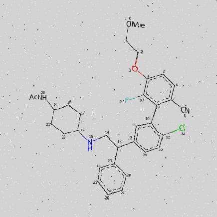 COCCOc1ccc(C#N)c(-c2cc(C(CNC3CCC(NC(C)=O)CC3)c3ccccc3)ccc2Cl)c1F